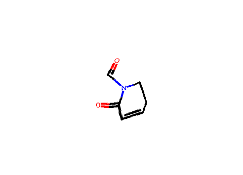 O=CN1CCC=CC1=O